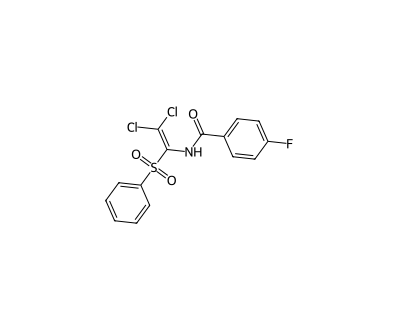 O=C(NC(=C(Cl)Cl)S(=O)(=O)c1ccccc1)c1ccc(F)cc1